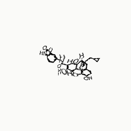 O=C(Nc1ccc2[nH]c(=O)oc2c1)C1=C(O)[C@@H]2Oc3c(O)ccc4c3[C@@]23CCN(CC2CC2)[C@H](C4)[C@]3(O)C1